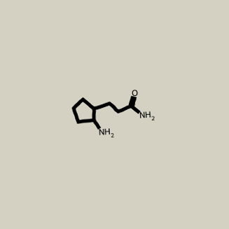 NC(=O)CCC1CCCC1N